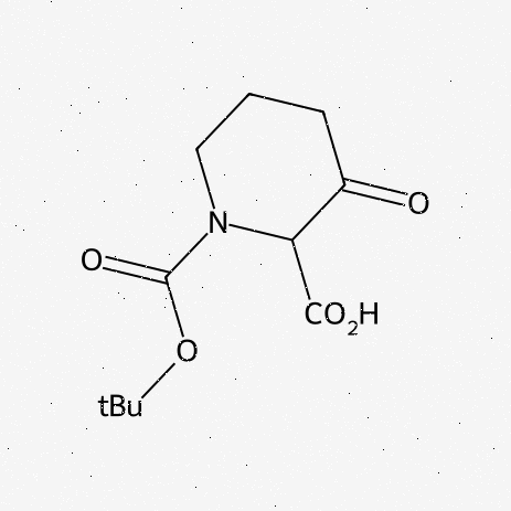 CC(C)(C)OC(=O)N1CCCC(=O)C1C(=O)O